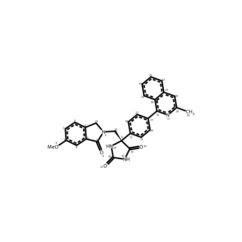 COc1ccc2c(c1)C(=O)N(C[C@]1(c3ccc(-c4nc(C)cc5ccccc45)cc3)NC(=O)NC1=O)C2